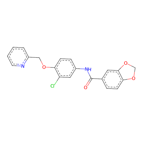 O=C(Nc1ccc(OCc2ccccn2)c(Cl)c1)c1ccc2c(c1)OCO2